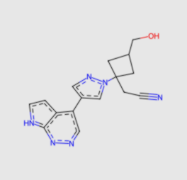 N#CCC1(n2cc(-c3cnnc4[nH]ccc34)cn2)CC(CO)C1